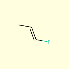 CC=CF